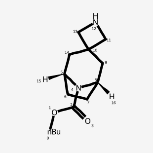 CCCCOC(=O)N1[C@@H]2CC[C@H]1CC1(CNC1)C2